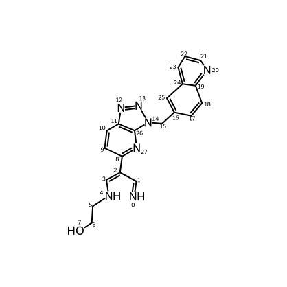 N=C/C(=C\NCCO)c1ccc2nnn(Cc3ccc4ncccc4c3)c2n1